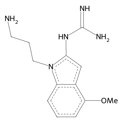 COc1cccc2c1cc(NC(=N)N)n2CCCN